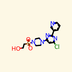 O=S(=O)(CCO)N1CCN(c2cc(Cl)nc(-c3cccnc3)n2)CC1